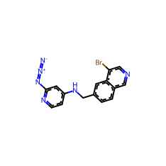 [N-]=[N+]=Nc1cc(NCc2ccc3cncc(Br)c3c2)ccn1